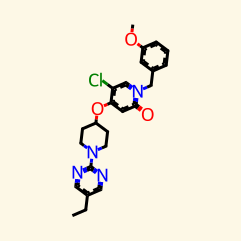 CCc1cnc(N2CCC(Oc3cc(=O)n(Cc4cccc(OC)c4)cc3Cl)CC2)nc1